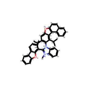 Cc1ccc2c(oc3ccccc32)c1-c1n(-c2c(C(C)C)cc3oc4ccc5ccccc5c4c3c2C(C)C)c2ccccc2[n+]1C